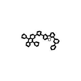 c1ccc(-c2cccc(-c3cccc4c3oc3ccc(-c5cccc(-c6ccc7c(-c8ccccc8)c8ccccc8c(-c8ccccc8)c7c6)c5)cc34)c2)cc1